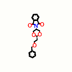 O=C1c2ccccc2C(=O)N1[C@H]1CO[C@H](CCOCc2ccccc2)OC1